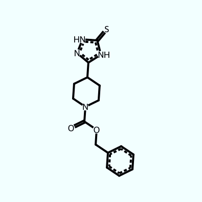 O=C(OCc1ccccc1)N1CCC(c2n[nH]c(=S)[nH]2)CC1